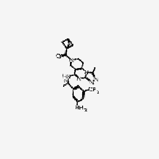 Cc1nnc2nc(N[C@H](C)c3cc(N)cc(C(F)(F)F)c3)c3c(n12)CCN(C(=O)C12CC(C1)C2)C3